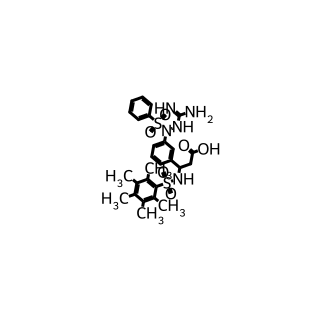 Cc1c(C)c(C)c(S(=O)(=O)NC(CC(=O)O)c2cccc(N(NC(=N)N)S(=O)(=O)c3ccccc3)c2)c(C)c1C